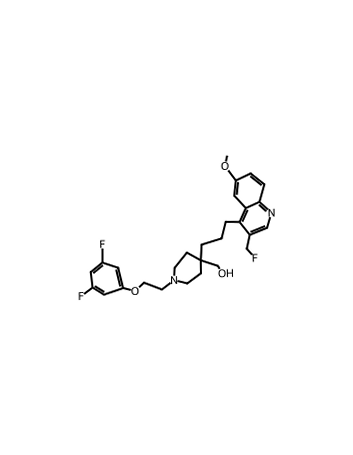 COc1ccc2ncc(CF)c(CCCC3(CO)CCN(CCOc4cc(F)cc(F)c4)CC3)c2c1